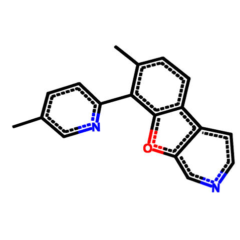 Cc1ccc(-c2c(C)ccc3c2oc2cnccc23)nc1